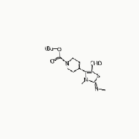 C/N=c1\sc(C=O)c(C2CCN(C(=O)OC(C)(C)C)CC2)n1C